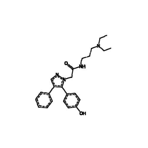 CCN(CC)CCCNC(=O)Cn1ncc(-c2ccccc2)c1-c1ccc(O)cc1